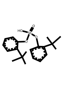 CC(C)(C)c1ccccc1[O][Sb](=[O])([OH])[O]c1ccccc1C(C)(C)C